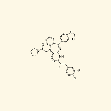 C[C@@H](Cc1ccc(F)c(F)c1)C(=O)NC1N=C(c2ccc3c(c2)OCO3)c2ccccc2N(CC(=O)N2CCCC2)C1=O